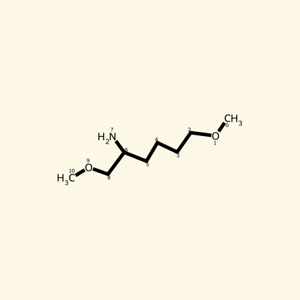 COCCCCC(N)COC